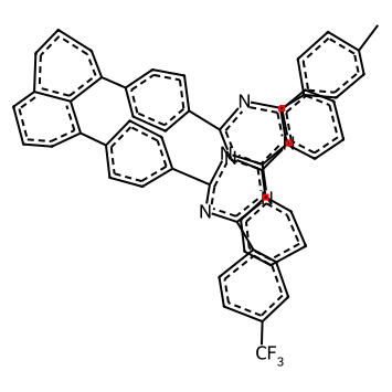 Cc1ccc(-c2nc(-c3ccccc3)nc(-c3ccc(-c4cccc5cccc(-c6ccc(-c7nc(-c8ccccc8)nc(-c8ccc(C(F)(F)F)cc8)n7)cc6)c45)cc3)n2)cc1